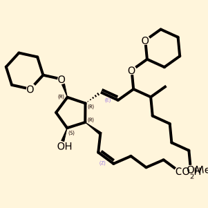 COCCCCC(C)C(/C=C/[C@@H]1[C@@H](C/C=C\CCCC(=O)O)[C@@H](O)C[C@H]1OC1CCCCO1)OC1CCCCO1